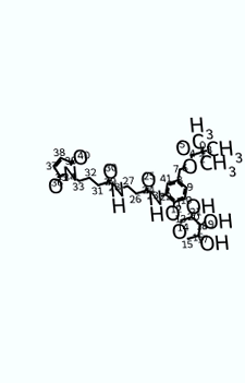 CC(C)(C)C(=O)OCc1ccc(O[C@@H]2OC[C@@H](O)[C@H](O)[C@H]2O)c(NC(=O)CCNC(=O)CCCN2C(=O)C=CC2=O)c1